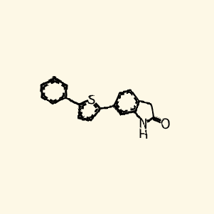 O=C1Cc2ccc(-c3ccc(-c4ccccc4)s3)cc2N1